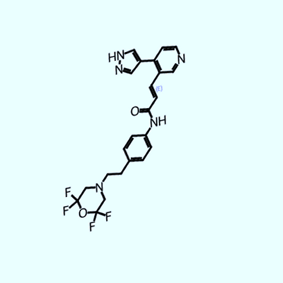 O=C(/C=C/c1cnccc1-c1cn[nH]c1)Nc1ccc(CCN2CC(F)(F)OC(F)(F)C2)cc1